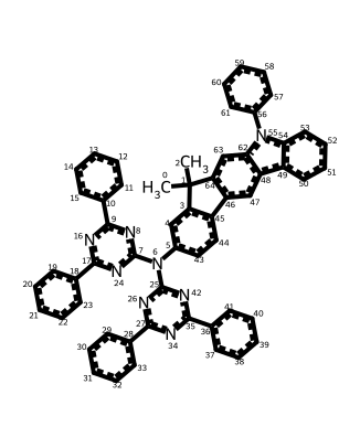 CC1(C)c2cc(N(c3nc(-c4ccccc4)nc(-c4ccccc4)n3)c3nc(-c4ccccc4)nc(-c4ccccc4)n3)ccc2-c2cc3c4ccccc4n(-c4ccccc4)c3cc21